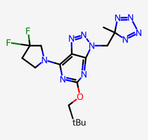 CC(C)(C)COc1nc(N2CCC(F)(F)C2)c2nnn(CC3(C)N=NN=N3)c2n1